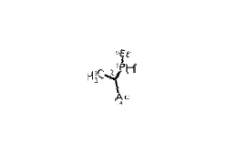 CCPC(C)C(C)=O